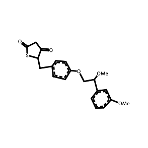 COc1cccc(C(COc2ccc(CC3SC(=O)CC3=O)cc2)OC)c1